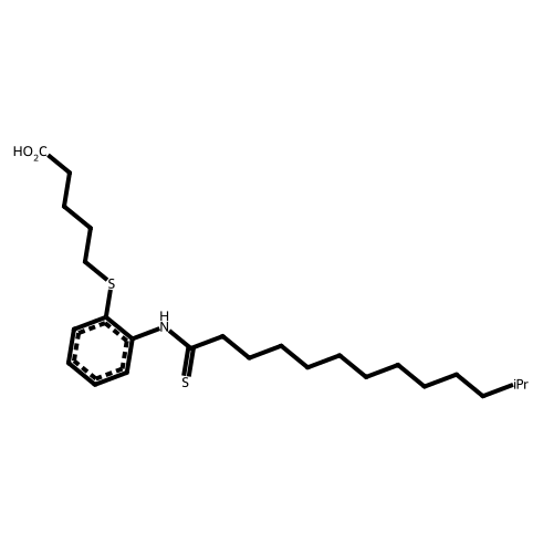 CC(C)CCCCCCCCCCC(=S)Nc1ccccc1SCCCCC(=O)O